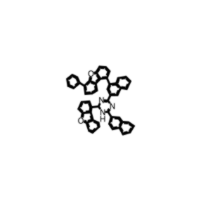 c1ccc(-c2cccc3c2oc2cccc(-c4cc(C5=NC(c6cccc7oc8ccccc8c67)NC(c6ccc7ccccc7c6)=N5)cc5ccccc45)c23)cc1